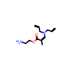 C=CCN(C=C(C)C(=O)OCCN)CC=C